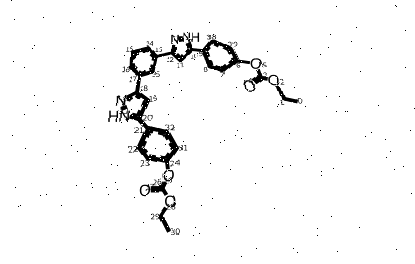 CCOC(=O)Oc1ccc(-c2cc(-c3cccc(-c4cc(-c5ccc(OC(=O)OCC)cc5)[nH]n4)c3)n[nH]2)cc1